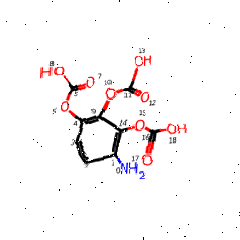 Nc1ccc(OC(=O)O)c(OC(=O)O)c1OC(=O)O